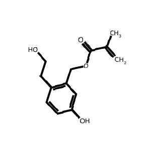 C=C(C)C(=O)OCc1cc(O)ccc1CCO